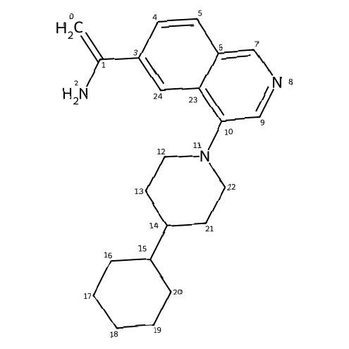 C=C(N)c1ccc2cncc(N3CCC(C4CCCCC4)CC3)c2c1